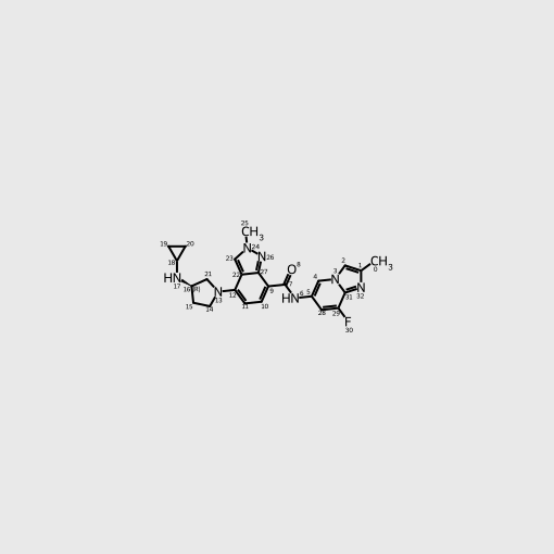 Cc1cn2cc(NC(=O)c3ccc(N4CC[C@@H](NC5CC5)C4)c4cn(C)nc34)cc(F)c2n1